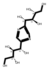 OC[C@@H](O)[C@@H](O)[C@@H](O)c1cnc([C@H](O)[C@H](O)[C@H](O)CO)cn1